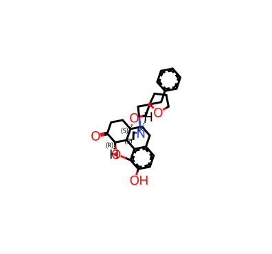 O=C1CC[C@@]2(OCCCc3ccccc3)[C@H]3Cc4ccc(O)c5c4[C@@]2(CCN3CC2CCCO2)[C@H]1O5